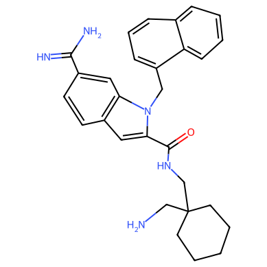 N=C(N)c1ccc2cc(C(=O)NCC3(CN)CCCCC3)n(Cc3cccc4ccccc34)c2c1